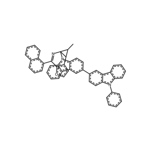 CC1C2c3ccoc3C(c3cccc4ccccc34)=NC12n1c2ccccc2c2cc(-c3ccc4c(c3)c3ccccc3n4-c3ccccc3)ccc21